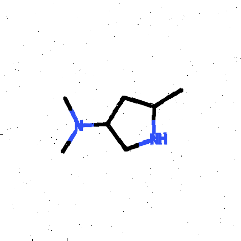 CC1CC(N(C)C)CN1